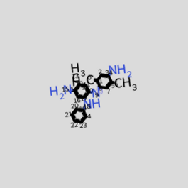 C=C1C=C(N)C(C)=C/C1=N/c1cc(C)c(N)cc1Nc1ccccc1